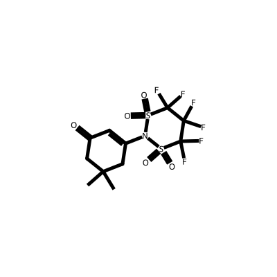 CC1(C)CC(=O)C=C(N2S(=O)(=O)C(F)(F)C(F)(F)C(F)(F)S2(=O)=O)C1